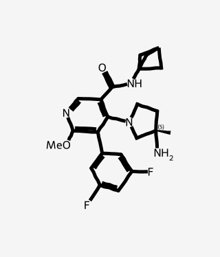 COc1ncc(C(=O)NC23CC(C2)C3)c(N2CC[C@](C)(N)C2)c1-c1cc(F)cc(F)c1